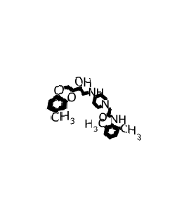 Cc1ccc2c(c1)OC(C(O)CNC1CCN(CC(=O)Nc3c(C)cccc3C)CC1)CO2